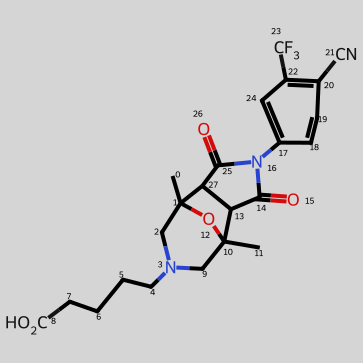 CC12CN(CCCCC(=O)O)CC(C)(O1)C1C(=O)N(c3ccc(C#N)c(C(F)(F)F)c3)C(=O)C12